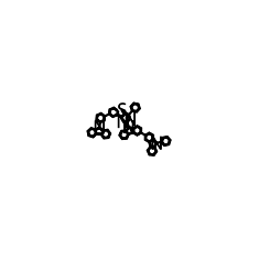 c1ccc(-c2nc(-n3c4ccccc4c4cc(-c5ccc6c(c5)c5ccccc5n6-c5ccccc5)ccc43)nc3c2sc2ccc(-c4cccc(-n5c6ccccc6c6ccccc65)c4)cc23)cc1